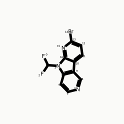 FC(F)n1c2ccncc2c2ccc(Br)nc21